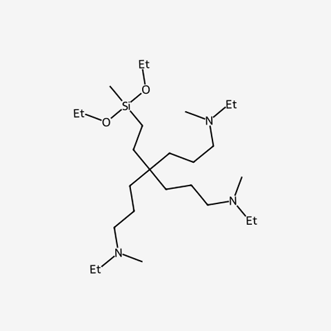 CCO[Si](C)(CCC(CCCN(C)CC)(CCCN(C)CC)CCCN(C)CC)OCC